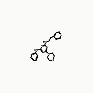 c1ccc(Nc2cc(N3CCOCC3)nc(NCCc3ccncc3)n2)cc1